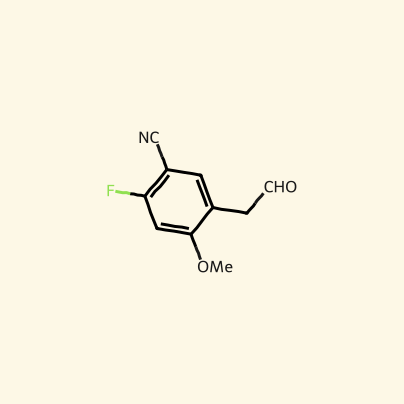 COc1cc(F)c(C#N)cc1CC=O